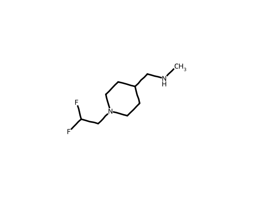 CNCC1CCN(CC(F)F)CC1